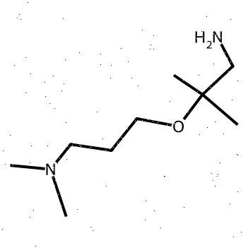 CN(C)CCCOC(C)(C)CN